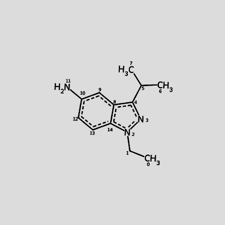 CCn1nc(C(C)C)c2cc(N)ccc21